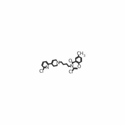 Cc1ccc2c(c1)C(=O)N(CCCCN1CC=C(c3cccc(Cl)n3)CC1)C(Cl)=CO2